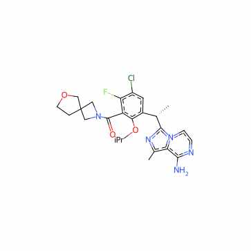 Cc1nc([C@@H](C)c2cc(Cl)c(F)c(C(=O)N3CC4(CCOC4)C3)c2OC(C)C)n2ccnc(N)c12